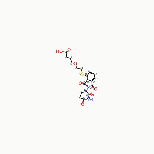 O=C(O)CCCOCCSc1cccc2c1C(=O)N(C1CCC(=O)NC1=O)C2=O